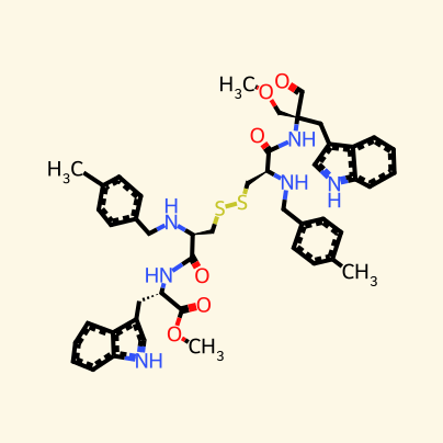 COC[C@@](C=O)(Cc1c[nH]c2ccccc12)NC(=O)[C@H](CSSC[C@H](NCc1ccc(C)cc1)C(=O)N[C@@H](Cc1c[nH]c2ccccc12)C(=O)OC)NCc1ccc(C)cc1